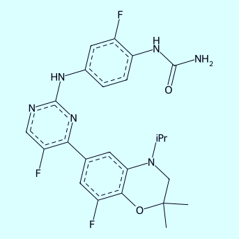 CC(C)N1CC(C)(C)Oc2c(F)cc(-c3nc(Nc4ccc(NC(N)=O)c(F)c4)ncc3F)cc21